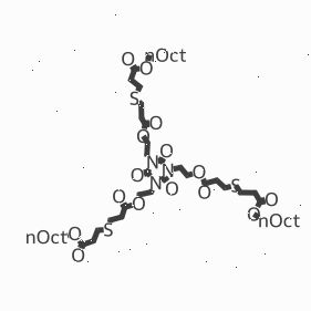 CCCCCCCCOC(=O)CCSCCC(=O)OCCn1c(=O)n(CCOC(=O)CCSCCC(=O)OCCCCCCCC)c(=O)n(CCOC(=O)CCSCCC(=O)OCCCCCCCC)c1=O